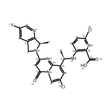 C[C@@H]1c2ncc(F)cc2CN1c1cc(=O)n2cc(Cl)cc([C@@H](C)Nc3ccc(Cl)nc3C(=O)O)c2n1